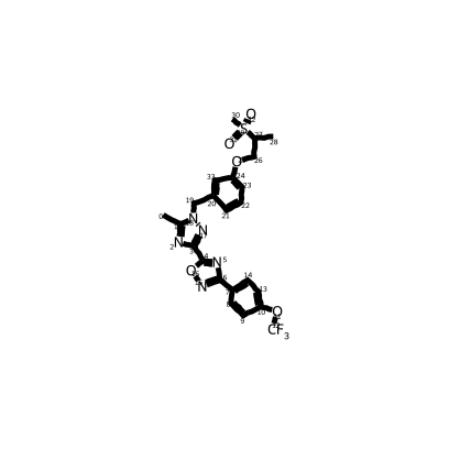 Cc1nc(-c2nc(-c3ccc(OC(F)(F)F)cc3)no2)nn1Cc1cccc(OCC(C)S(C)(=O)=O)c1